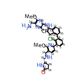 COc1nc(-c2cccc(-c3cccc4c3CC[C@@H]4Nc3nc(OC)c(CN)nc3C(F)(F)F)c2Cl)ccc1CNC[C@@H]1CCC(=O)N1